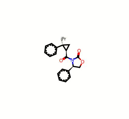 CC(C)[C@]1(c2ccccc2)C[C@H]1C(=O)N1C(=O)OC[C@H]1c1ccccc1